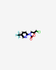 O=C1OC(CCl)CN1c1ccc(C(F)(F)F)cn1